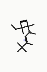 CCC1(C)C=CC1(C)N(C)/C=C(\C)[Si](C)(C)C